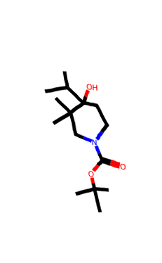 CC(C)C1(O)CCN(C(=O)OC(C)(C)C)CC1(C)C